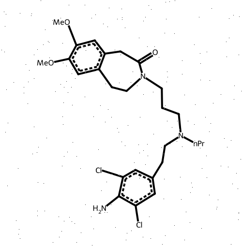 CCCN(CCCN1CCc2cc(OC)c(OC)cc2CC1=O)CCc1cc(Cl)c(N)c(Cl)c1